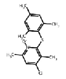 Cc1cc(C)c(Sc2c(C)c(Cl)cc(C)[n+]2[O-])c(C)c1